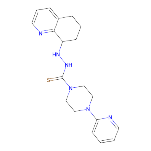 S=C(NNC1CCCc2cccnc21)N1CCN(c2ccccn2)CC1